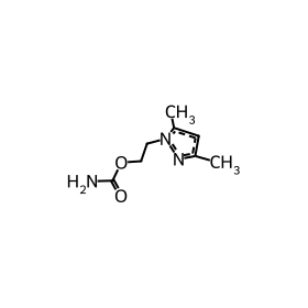 Cc1cc(C)n(CCOC(N)=O)n1